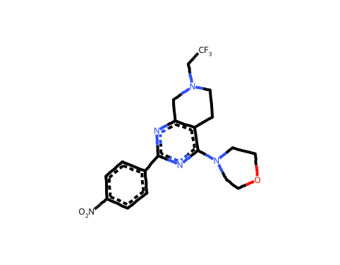 O=[N+]([O-])c1ccc(-c2nc3c(c(N4CCOCC4)n2)CCN(CC(F)(F)F)C3)cc1